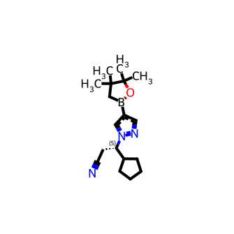 CC1(C)CB(c2cnn([C@@H](CC#N)C3CCCC3)c2)OC1(C)C